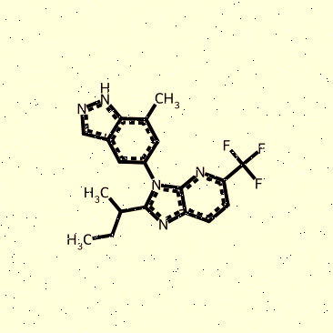 CCC(C)c1nc2ccc(C(F)(F)F)nc2n1-c1cc(C)c2[nH]ncc2c1